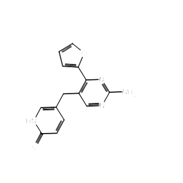 Nc1ncc(Cc2ccc(=O)[nH]c2)c(-c2ccco2)n1